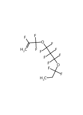 C=C(F)C(F)(F)OC(F)(F)C(F)(F)C(F)(F)OC(F)(F)CC